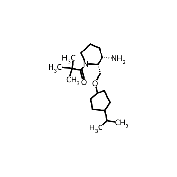 CC(C)C1CCC(OC[C@H]2[C@@H](N)CCCN2C(=O)C(C)(C)C)CC1